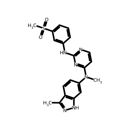 Cc1n[nH]c2cc(N(C)c3ccnc(Nc4cccc(S(C)(=O)=O)c4)n3)ccc12